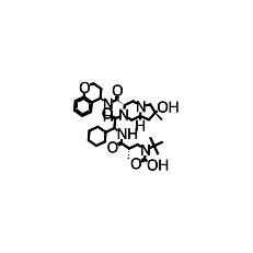 C[C@@H](CN(C(=O)O)C(C)(C)C)C(=O)N[C@H](C(=O)N1C[C@H]2C[C@@](C)(O)CN2C[C@H]1C(=O)N[C@@H]1CCOc2ccccc21)C1CCCCC1